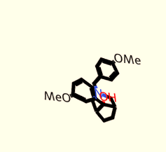 COc1ccc(CN2CC3CCC(C2)C3(O)c2cccc(OC)c2)cc1